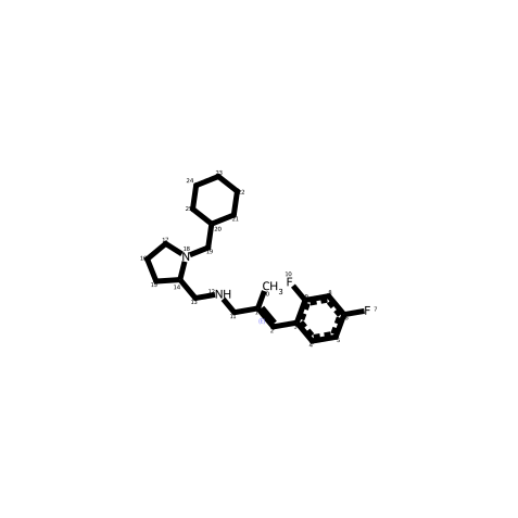 C/C(=C\c1ccc(F)cc1F)CNCC1CCCN1CC1CCCCC1